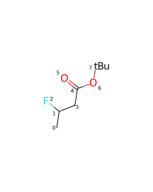 CC(F)CC(=O)OC(C)(C)C